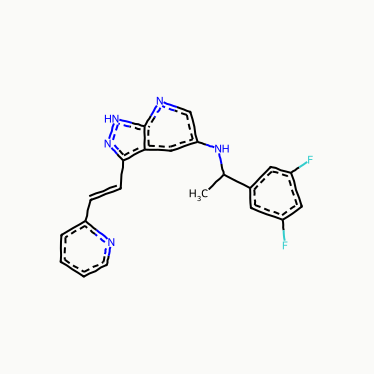 CC(Nc1cnc2[nH]nc(C=Cc3ccccn3)c2c1)c1cc(F)cc(F)c1